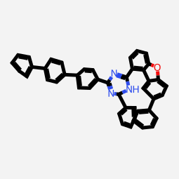 c1ccc(-c2ccc(-c3ccc(C4=NC(c5ccccc5)NC(c5cccc6oc7ccc(-c8ccccc8)cc7c56)=N4)cc3)cc2)cc1